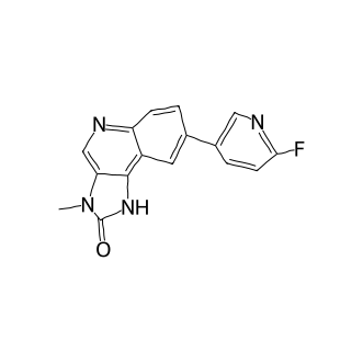 Cn1c(=O)[nH]c2c3cc(-c4ccc(F)nc4)ccc3ncc21